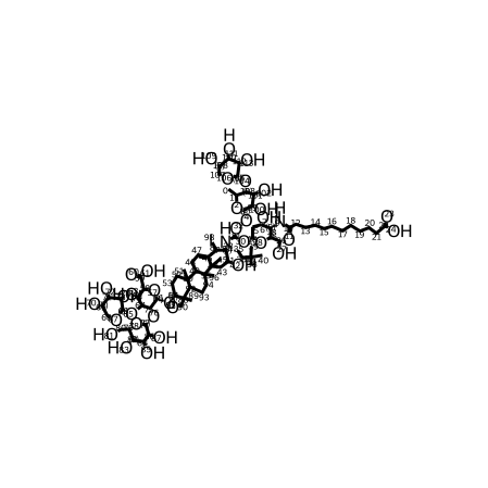 CC1O[C@@H](OC2C(O)[C@@H](NC(=O)CCCCCCCCCCC(=O)O)C(CO)O[C@@H]2OC(=O)N[C@@]2(CCC(C)(C)C)C(O)CC3(C)C(=CCC4C5(C)CC[C@H](O[C@@H]6OC(C(=O)O)[C@@H](O)C(O[C@@H]7OC[C@@H](O)C(O)C7O)C6O[C@@H]6OC(CO)[C@H](O)C(O)C6O)C(C)(C=O)C5CCC43C)C2I)C(O)C(O)[C@H]1O[C@@H]1OC[C@@H](O)C(O)C1O